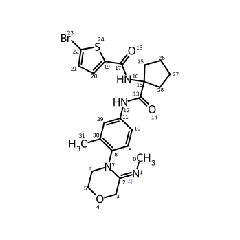 C/N=C1/COCCN1c1ccc(NC(=O)C2(NC(=O)c3ccc(Br)s3)CCCC2)cc1C